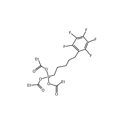 CCC(=O)O[Si](CCCCCc1c(F)c(F)c(F)c(F)c1F)(OC(=O)CC)OC(=O)CC